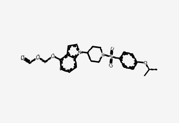 CC(C)Oc1ccc(S(=O)(=O)N2CCC(n3ccc4c(OCOC=O)cccc43)CC2)cc1